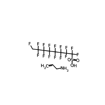 C=CCN.O=S(=O)(O)C(F)(F)C(F)(F)C(F)(F)C(F)(F)C(F)(F)C(F)(F)C(F)(F)CF